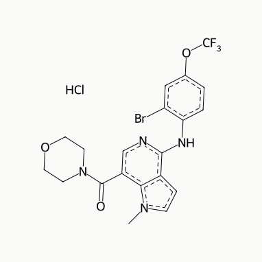 Cl.Cn1ccc2c(Nc3ccc(OC(F)(F)F)cc3Br)ncc(C(=O)N3CCOCC3)c21